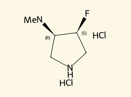 CN[C@@H]1CNC[C@@H]1F.Cl.Cl